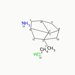 C.CC12CC3CC(CC(C3)C1)C2.Cl.N